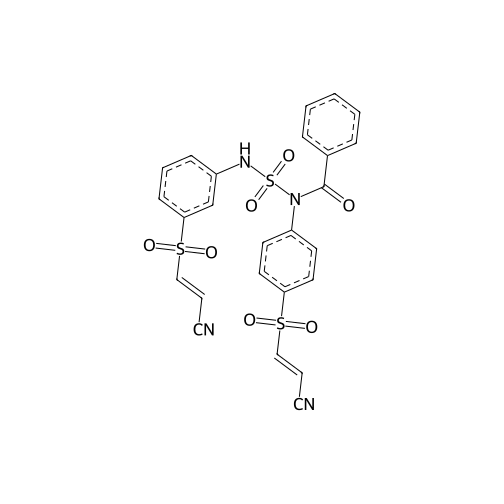 N#CC=CS(=O)(=O)c1ccc(N(C(=O)c2ccccc2)S(=O)(=O)Nc2cccc(S(=O)(=O)C=CC#N)c2)cc1